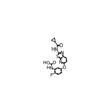 O=C(O)Nc1cc(Oc2ccc3nc(NC(=O)C4CC4)sc3n2)ccc1F